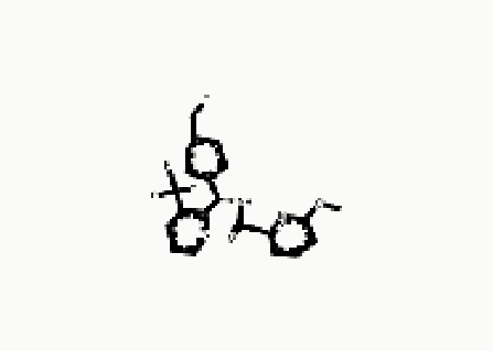 COc1cccc(C(=O)N[C@@H](c2ccc(CF)cc2)c2ncccc2C(F)(F)F)n1